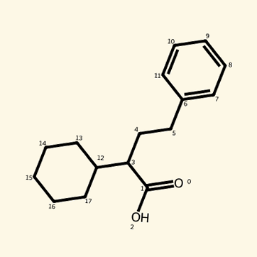 O=C(O)C(CCc1ccccc1)C1CCCCC1